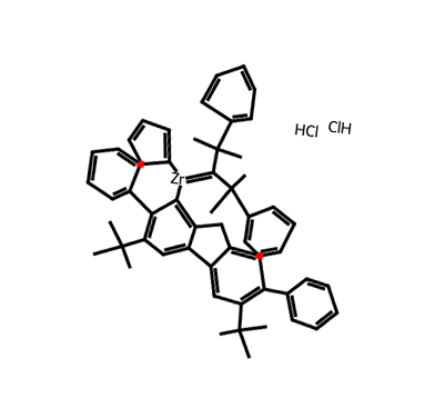 CC(C)(C)c1cc2c(cc1-c1ccccc1)Cc1c-2cc(C(C)(C)C)c(-c2ccccc2)[c]1[Zr]([C]1=CC=CC1)=[C](C(C)(C)c1ccccc1)C(C)(C)c1ccccc1.Cl.Cl